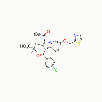 CC(C)(C)C(=O)c1c(CC(C)(C)C(=O)O)c(C(=O)c2ccc(Cl)cc2)c2ccc(OCc3nccs3)cn12